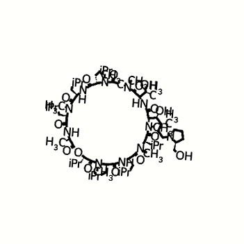 CC(C)C[C@@H]1C(=O)N[C@H](CC(C)C)C(=O)N(C)[C@H](C(C)C)C(=O)N(C)[C@H]([C@H](O)[C@H](C)CCN2CCC[C@H]2CO)C(=O)N[C@H]([C@@H](C)O)C(=O)N(C)CC(=O)N(C)[C@@H](CC(C)C)C(=O)N[C@H](CC(C)C)C(=O)N(C)[C@H](CC(C)C)C(=O)N[C@H](C)C(=O)O[C@@H](C(C)C)C(=O)N1C